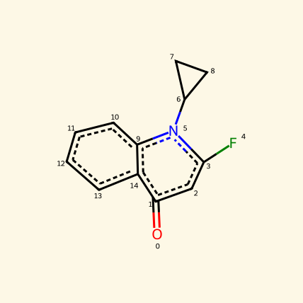 O=c1cc(F)n(C2CC2)c2ccccc12